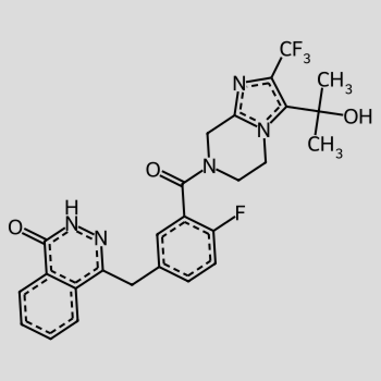 CC(C)(O)c1c(C(F)(F)F)nc2n1CCN(C(=O)c1cc(Cc3n[nH]c(=O)c4ccccc34)ccc1F)C2